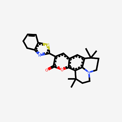 CC1(C)CCN2CCC(C)(C)c3c2c1cc1cc(-c2nc4c(s2)C=CCC4)c(=O)oc31